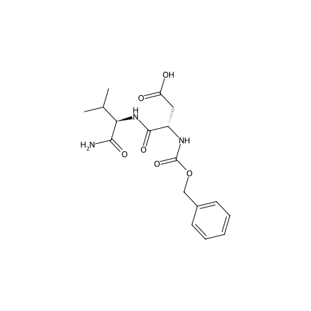 CC(C)[C@@H](NC(=O)[C@H](CC(=O)O)NC(=O)OCc1ccccc1)C(N)=O